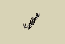 Cc1c([C@@H]2CN3CCN(C(=O)Cc4ccc(-n5cnnn5)cc4Cl)C[C@@H]3CO2)ccc(F)c1C#N